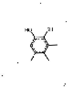 Cc1cc(O)c(S)c(C)c1C